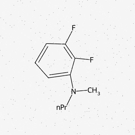 CCCN(C)c1cccc(F)c1F